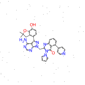 CC1(C)Cc2c(-c3nn(Cc4nc5cccc(-c6ccncc6)c5c(=O)n4-n4cccc4)c4ncnc(N)c34)ccc(O)c2O1